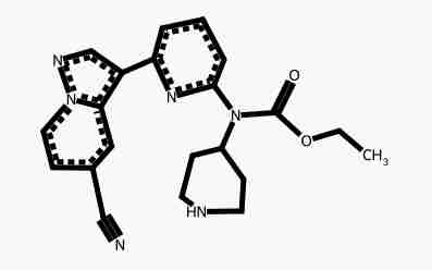 CCOC(=O)N(c1cccc(-c2cnn3ccc(C#N)cc23)n1)C1CCNCC1